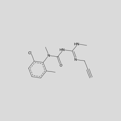 C#CCN=C(NC)NC(=O)N(C)c1c(C)cccc1Cl